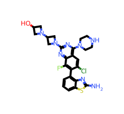 Nc1nc2c(-c3c(Cl)cc4c(N5CCNCC5)nc(N5CC(N6CC(O)C6)C5)nc4c3F)cccc2s1